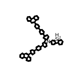 c1ccc2c(c1)[SiH2]c1cc(-n3c4ccc(-c5ccc(-c6ccc(-c7cc8ccccc8c8ccccc78)cc6)cc5)cc4c4cc(-c5ccc(-c6ccc(-c7cc8ccccc8c8ccccc78)cc6)cc5)ccc43)ccc1-2